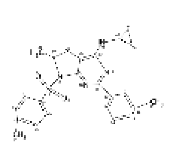 Cc1ccc(S(=O)(=O)N2c3nc(-c4cccc(C)c4)nc(NC4CC4)c3CC2C)cc1